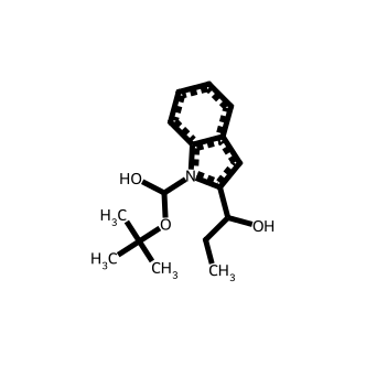 CCC(O)c1cc2ccccc2n1C(O)OC(C)(C)C